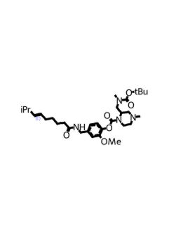 COc1cc(CNC(=O)CCCC/C=C/C(C)C)ccc1OC(=O)N1CCN(C)CC1CN(C)C(=O)OC(C)(C)C